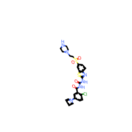 O=C(NC(=O)c1cc(-n2cccc2)ccc1Cl)Nc1nc2ccc(S(=O)(=O)CCN3CCNCC3)cc2s1